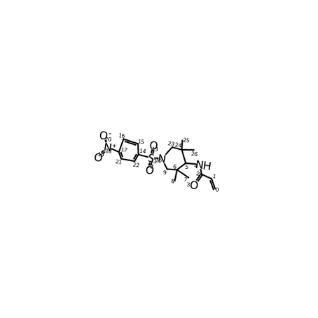 C=CC(=O)NC1C(C)(C)CN(S(=O)(=O)c2ccc([N+](=O)[O-])cc2)CC1(C)C